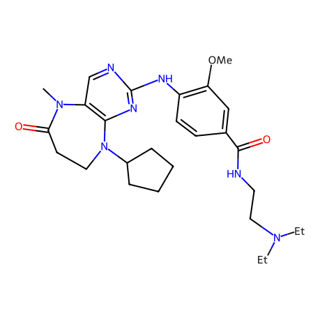 CCN(CC)CCNC(=O)c1ccc(Nc2ncc3c(n2)N(C2CCCC2)CCC(=O)N3C)c(OC)c1